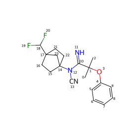 CC(C)(Oc1ccccc1)C(=N)N(C#N)C12CCC(C(F)F)(CC1)C2